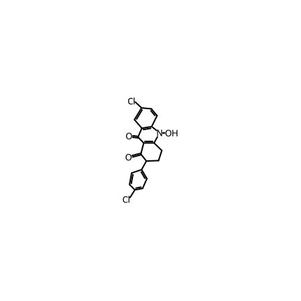 O=C1c2c(n(O)c3ccc(Cl)cc3c2=O)CCC1c1ccc(Cl)cc1